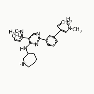 C=C/C(=C\N(C)C)c1cccc(-c2ncc(C(/C=C\C)=N/C)c(NC3CCCCNC3)n2)c1